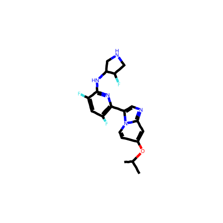 CC(C)Oc1ccn2c(-c3nc(NC4CNCC4F)c(F)cc3F)cnc2c1